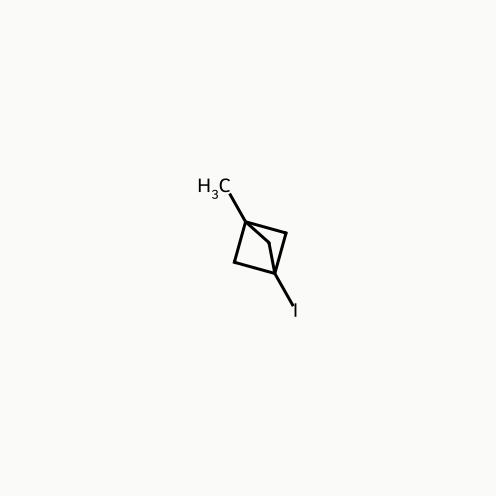 CC12CC(I)(C1)C2